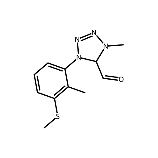 CSc1cccc(N2N=NN(C)C2C=O)c1C